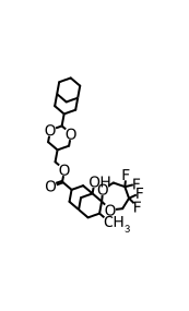 CC1CC2CC(C(=O)OCC3COC(C4CC5CCCC(C5)C4)OC3)CC(O)(C2)C12OCC(F)(F)C(F)(F)CO2